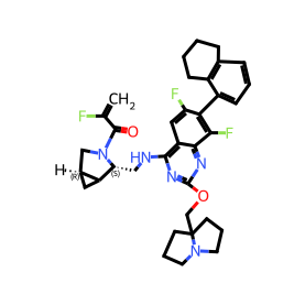 C=C(F)C(=O)N1C[C@@H]2CC2[C@H]1CNc1nc(OCC23CCCN2CCC3)nc2c(F)c(-c3cccc4c3CCCC4)c(F)cc12